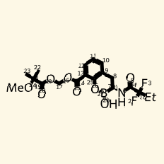 CCC(F)(F)C(=O)N[C@H]1Cc2cccc(C(=O)OCOC(=O)C(C)(C)OC)c2OB1O